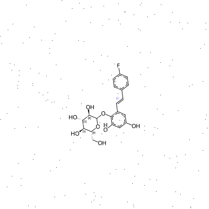 OC[C@H]1OC(Oc2c(O)cc(O)cc2/C=C/c2ccc(F)cc2)[C@H](O)[C@@H](O)[C@@H]1O